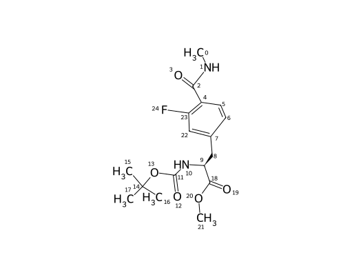 CNC(=O)c1ccc(C[C@H](NC(=O)OC(C)(C)C)C(=O)OC)cc1F